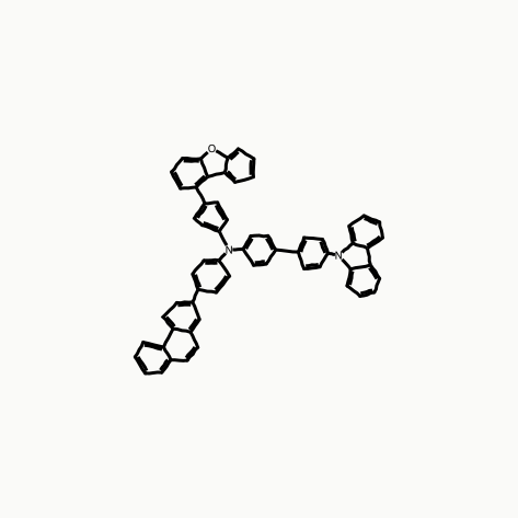 c1ccc2c(c1)ccc1cc(-c3ccc(N(c4ccc(-c5ccc(-n6c7ccccc7c7ccccc76)cc5)cc4)c4ccc(-c5cccc6oc7ccccc7c56)cc4)cc3)ccc12